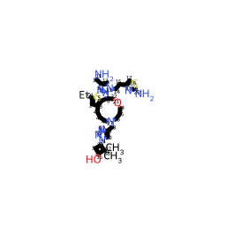 CCc1cc2c(s1)C([n+]1nc(CN)cn1CCc1csc(N)n1)COCCCN(Cc1cn(C3CC(O)C3(C)C)nn1)CCC2